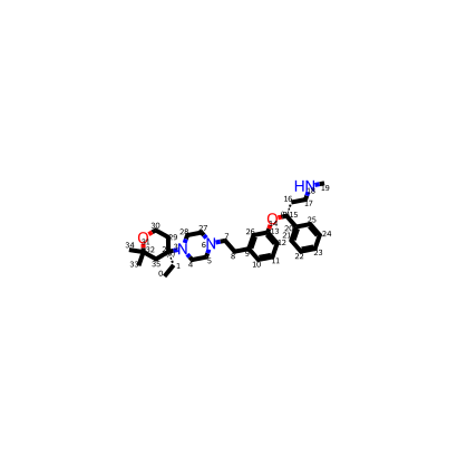 CC[C@@]1(N2CCN(CCc3cccc(O[C@H](CCNC)c4ccccc4)c3)CC2)CCOC(C)(C)C1